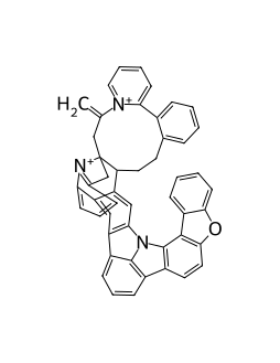 C=C1CC23Cc4cccc([n+]42)-c2cc4c5cccc6c7ccc8oc9ccccc9c8c7n(c4cc2C3CCc2ccccc2-c2cccc[n+]21)c56